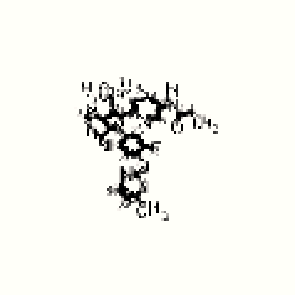 C=CC(=O)Nc1cnc(-c2c(CC)c3ncnc(N)c3n2-c2ccc(Oc3nccc(C)n3)c(F)c2)c(C)c1